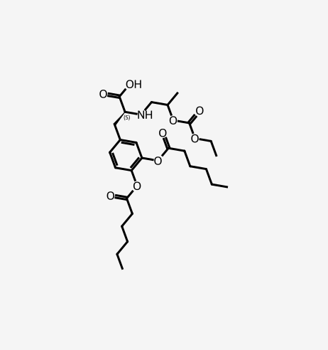 CCCCCC(=O)Oc1ccc(C[C@H](NCC(C)OC(=O)OCC)C(=O)O)cc1OC(=O)CCCCC